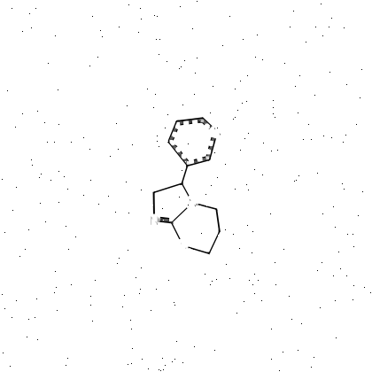 c1cncc(C2CN=C3SCCCN32)c1